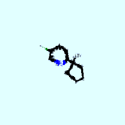 N#CC1(c2ccc(F)cn2)CCCC1